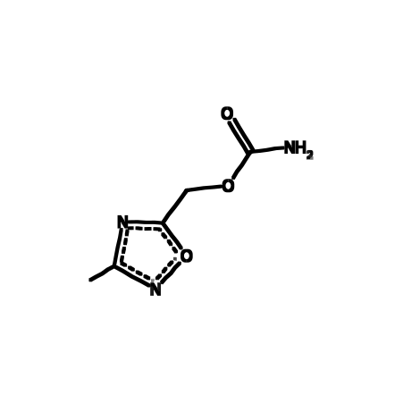 Cc1noc(COC(N)=O)n1